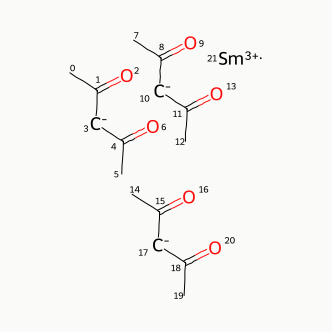 CC(=O)[CH-]C(C)=O.CC(=O)[CH-]C(C)=O.CC(=O)[CH-]C(C)=O.[Sm+3]